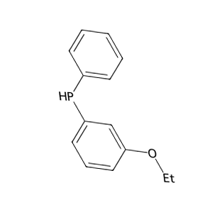 CCOc1cccc(Pc2ccccc2)c1